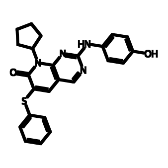 O=c1c(Sc2ccccc2)cc2cnc(Nc3ccc(O)cc3)nc2n1C1CCCC1